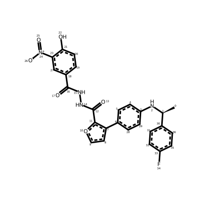 C[C@H](Nc1ccc(-c2ccoc2C(=O)NNC(=O)c2ccc(O)c([N+](=O)[O-])c2)cc1)c1ccc(F)cc1